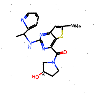 CNc1cc2nc(NC(C)c3ccccn3)nc(C(=O)N3CC[C@@H](O)C3)c2s1